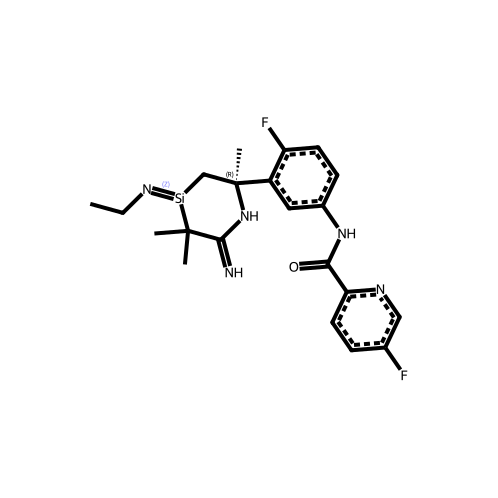 CC/N=[Si]1/C[C@@](C)(c2cc(NC(=O)c3ccc(F)cn3)ccc2F)NC(=N)C1(C)C